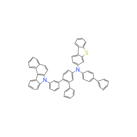 c1ccc(-c2ccc(N(c3ccc(-c4cccc(-n5c6ccccc6c6c7ccccc7ccc65)c4)c(-c4ccccc4)c3)c3ccc4c(c3)sc3ccccc34)cc2)cc1